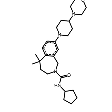 CC1(C)CCN(C(=O)NC2CCCC2)Cc2cc(N3CCC(N4CCOCC4)CC3)ccc21